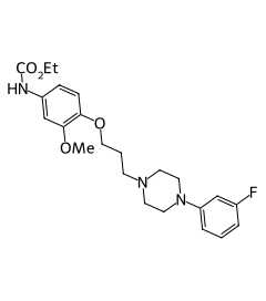 CCOC(=O)Nc1ccc(OCCCN2CCN(c3cccc(F)c3)CC2)c(OC)c1